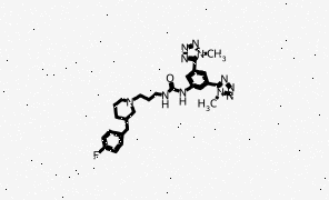 Cn1nnnc1-c1cc(NC(=O)NCCCN2CCCC(Cc3ccc(F)cc3)C2)cc(-c2nnnn2C)c1